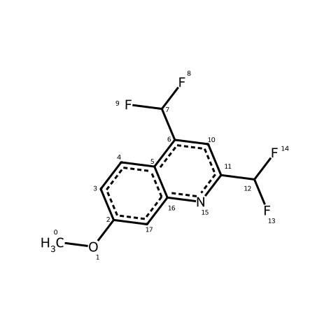 COc1ccc2c(C(F)F)cc(C(F)F)nc2c1